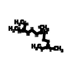 CCN(CC)CCC[SiH](C)CCCN(CC)CC